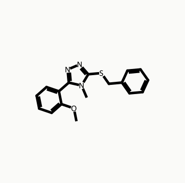 COc1ccccc1-c1nnc(SCc2ccccc2)n1C